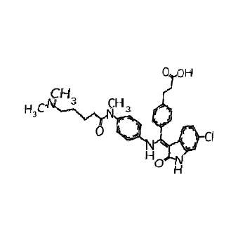 CN(C)CCCCC(=O)N(C)c1ccc(N/C(=C2\C(=O)Nc3cc(Cl)ccc32)c2ccc(CCC(=O)O)cc2)cc1